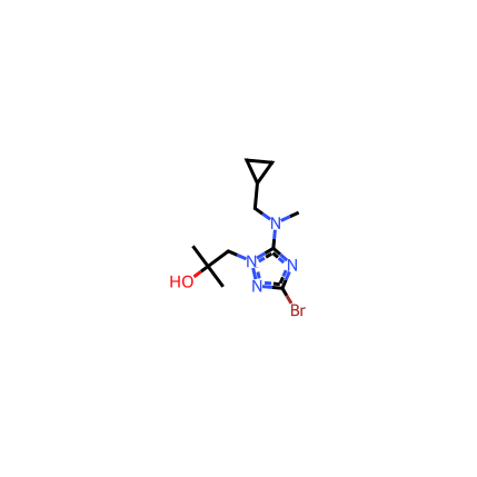 CN(CC1CC1)c1nc(Br)nn1CC(C)(C)O